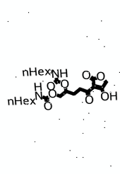 CCCCCCNC(=O)OCC(CCC(=O)C1=C(O)COC1=O)OC(=O)NCCCCCC